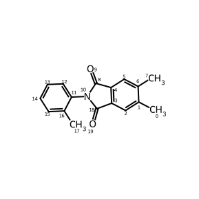 Cc1cc2c(cc1C)C(=O)N(c1ccccc1C)C2=O